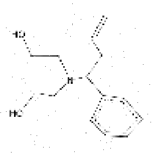 C=CCC(c1ccccc1)N(CCO)CCO